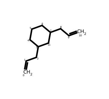 C=CCC1[CH]CCC(CC=C)C1